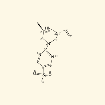 C=C[C@@H]1CN(c2ncc(S(C)(=O)=O)cn2)C[C@@H](C)N1